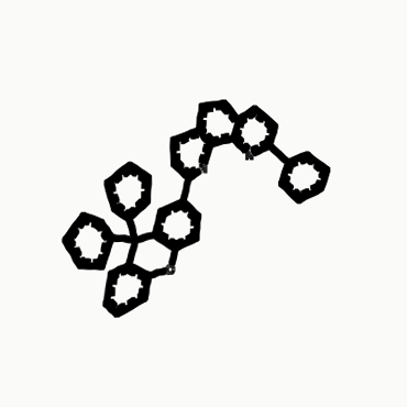 c1ccc(-c2ccc3ccc4ccc(-c5ccc6c(c5)C(c5ccccc5)(c5ccccc5)c5ccccc5O6)nc4c3n2)cc1